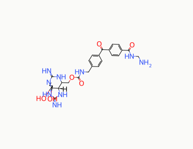 N=C1N[C@H]2C(COC(=O)NCc3ccc(C(=O)c4ccc(C(=O)NCN)cc4)cc3)NC(=N)N3CCC(O)(O)[C@]23N1